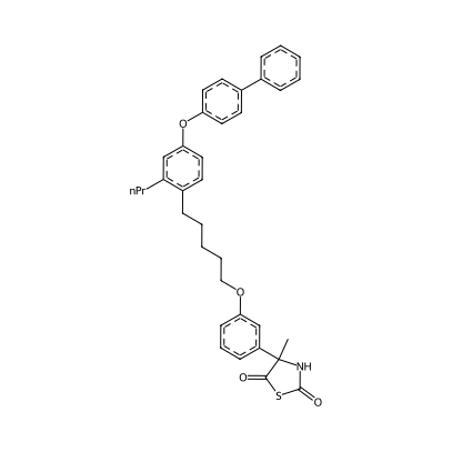 CCCc1cc(Oc2ccc(-c3ccccc3)cc2)ccc1CCCCCOc1cccc(C2(C)NC(=O)SC2=O)c1